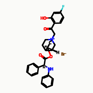 O=C(C[N+]12CCC(CC1)[C@@H](OC(=O)[C@H](Nc1ccccc1)c1ccccc1)C2)c1ccc(F)cc1O.[Br-]